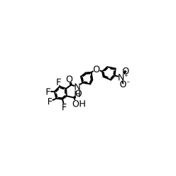 O=C(O)c1c(F)c(F)c(F)c(F)c1C(=O)Nc1ccc(Oc2ccc([N+](=O)[O-])cc2)cc1